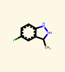 CC1NNc2ccc(F)cc21